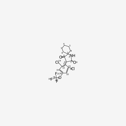 O=C1NC2(CCCCC2)C(=O)C1c1c(Cl)cc(OC(F)(F)F)cc1Cl